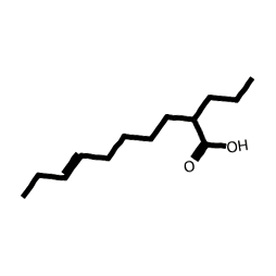 CCC=CCCCCC(CCC)C(=O)O